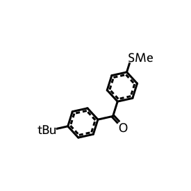 CSc1ccc(C(=O)c2ccc(C(C)(C)C)cc2)cc1